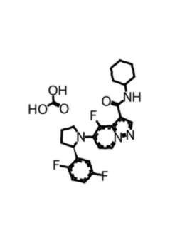 O=C(NC1CCCCC1)c1cnn2ccc(N3CCC[C@@H]3c3cc(F)ccc3F)c(F)c12.O=C(O)O